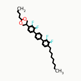 C=CCCC1OCC(c2ccc(-c3ccc(-c4ccc(CCCCCCCCC)c(F)c4F)cc3)c(F)c2F)CO1